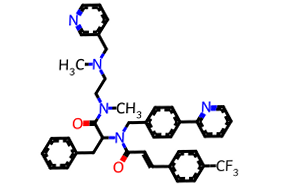 CN(CCN(C)C(=O)C(Cc1ccccc1)N(Cc1ccc(-c2ccccn2)cc1)C(=O)C=Cc1ccc(C(F)(F)F)cc1)Cc1cccnc1